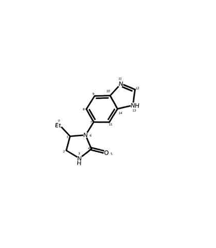 CCC1CNC(=O)N1c1ccc2nc[nH]c2c1